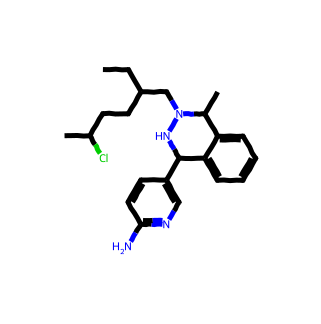 CCC(CCC(C)Cl)CN1NC(c2ccc(N)nc2)c2ccccc2C1C